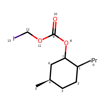 CC(C)C1CC[C@@H](C)CC1OC(=O)OCI